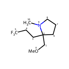 COCC1(CCC(F)(F)F)CCCN1C